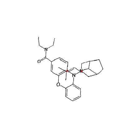 CCN(CC)C(=O)c1ccc2c(c1)Oc1ccccc1N2N1CC2CCC(C1)C2CC=C(C)C